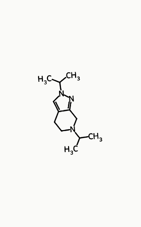 CC(C)N1CCc2cn(C(C)C)nc2C1